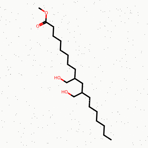 CCCCCCCC(CO)CC(CO)CCCCCCCC(=O)OC